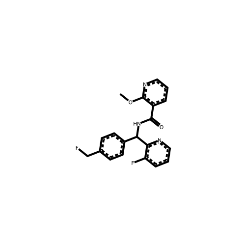 COc1ncccc1C(=O)NC(c1ccc(CF)cc1)c1ncccc1F